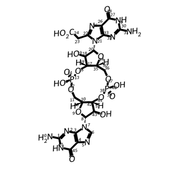 Nc1nc2c(ncn2[C@@H]2O[C@@H]3COP(=O)(O)O[C@@H]4C(O)[C@H](n5c(CC(=O)O)nc6c(=O)[nH]c(N)nc65)O[C@@H]4COP(=O)(O)O[C@@H]3C2O)c(=O)[nH]1